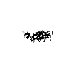 C[C@]12Cc3cnn(-c4ccc(F)nc4)c3C=C1CC[C@H]1[C@@H]3CC[C@](O)(C(=O)S)[C@@]3(C)C[C@H](O)[C@@]12F